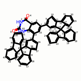 O=c1[nH]c(=O)c2cc(-c3ccc4c(c3)C3(c5ccccc5-c5ccccc53)c3ccccc3-4)cc(-c3ccc4c(c3)C3(c5ccccc5-c5ccccc53)c3ccccc3-4)c2[nH]1